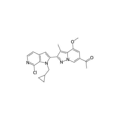 COc1cc(C(C)=O)cn2nc(-c3cc4ccnc(Cl)c4n3CC3CC3)c(C)c12